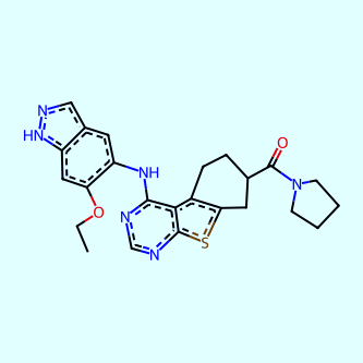 CCOc1cc2[nH]ncc2cc1Nc1ncnc2sc3c(c12)CCC(C(=O)N1CCCC1)C3